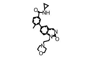 Cc1ccc(C(=O)NC2CC2)cc1-c1ccc2c(cnc(=O)n2CCN2CCOCC2)c1